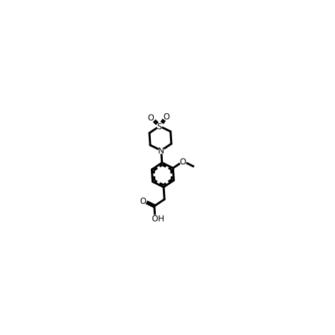 COc1cc(CC(=O)O)ccc1N1CCS(=O)(=O)CC1